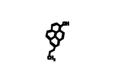 CCCc1cc2ccc3ccc(O)c4ccc(c1)c2c34